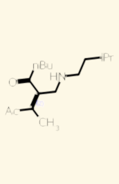 CCCCC(=O)/C(CNCCC(C)C)=C(/C)C(C)=O